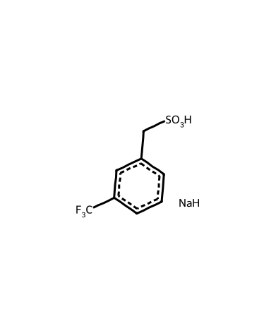 O=S(=O)(O)Cc1cccc(C(F)(F)F)c1.[NaH]